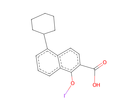 O=C(O)c1ccc2c(C3CCCCC3)cccc2c1OI